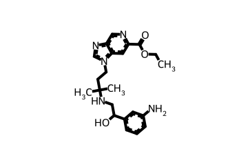 CCOC(=O)c1cc2c(cn1)ncn2CCC(C)(C)NCC(O)c1cccc(N)c1